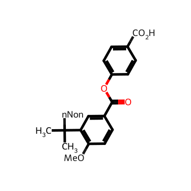 CCCCCCCCCC(C)(C)c1cc(C(=O)Oc2ccc(C(=O)O)cc2)ccc1OC